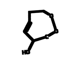 OC1/C=C/CCOOC1